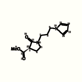 COC(=O)[C@H]1CCN(CCCn2cccc2)C1=O